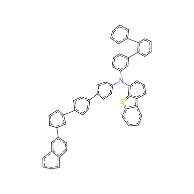 c1ccc(-c2ccccc2-c2cccc(N(c3ccc(-c4ccc(-c5cccc(-c6ccc7ccccc7c6)c5)cc4)cc3)c3cccc4c3sc3ccccc34)c2)cc1